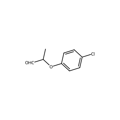 CC(C=O)Oc1ccc(Cl)cc1